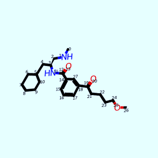 CNC[C@H](CC1CCCCC1)NC(=O)c1cccc(C(=O)CCCCOC)c1